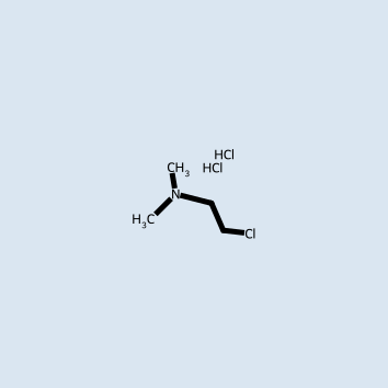 CN(C)CCCl.Cl.Cl